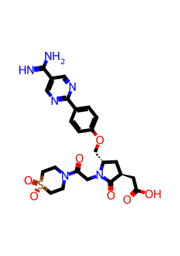 N=C(N)c1cnc(-c2ccc(OC[C@@H]3C[C@@H](CC(=O)O)C(=O)N3CC(=O)N3CCS(=O)(=O)CC3)cc2)nc1